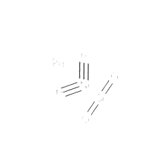 O=[Si]=O.[P]#[Ni]#[P].[Ru]